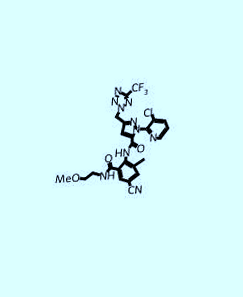 COCCNC(=O)c1cc(C#N)cc(C)c1NC(=O)c1cc(Cn2nnc(C(F)(F)F)n2)nn1-c1ncccc1Cl